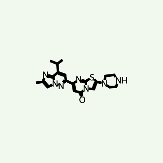 Cc1cn2nc(-c3cc(=O)n4cc(N5CCNCC5)sc4n3)cc(C(C)C)c2n1